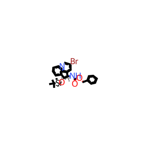 CC(C)(C)[Si](C)(C)O[C@H](c1ccccc1)[C@](C)(NC(=O)OCc1ccccc1)c1cncc(Br)c1